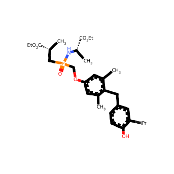 CCOC(=O)[C@H](C)CP(=O)(COc1cc(C)c(Cc2ccc(O)c(C(C)C)c2)c(C)c1)N[C@@H](C)C(=O)OCC